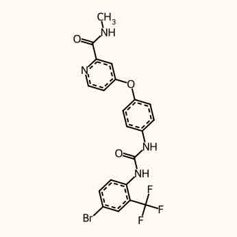 CNC(=O)c1cc(Oc2ccc(NC(=O)Nc3ccc(Br)cc3C(F)(F)F)cc2)ccn1